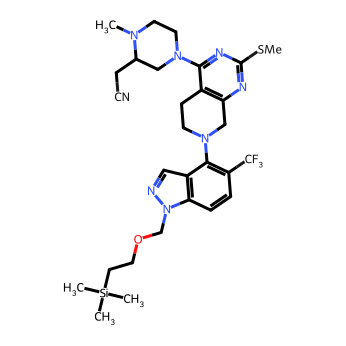 CSc1nc2c(c(N3CCN(C)C(CC#N)C3)n1)CCN(c1c(C(F)(F)F)ccc3c1cnn3COCC[Si](C)(C)C)C2